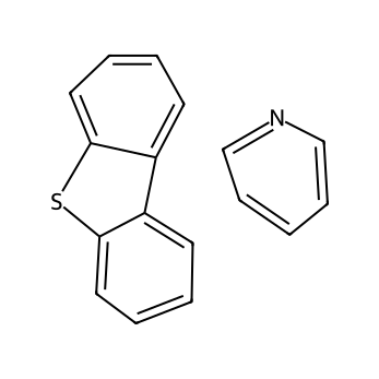 c1ccc2c(c1)sc1ccccc12.c1ccncc1